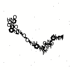 O=C1CCC(N2C(=O)c3cccc(N4CCN(CCOCCOCCNCc5ccc(-n6cc(NC(=O)c7coc(-c8ccnc(NCC9CC9)c8)n7)c(C(F)F)n6)cc5)CC4)c3C2=O)C(=O)N1